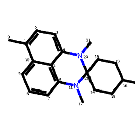 Cc1ccc2c3c(cccc13)N(C)C1(CCC(C)CC1)N2C